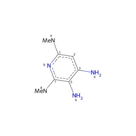 CNc1cc(N)c(N)c(NC)n1